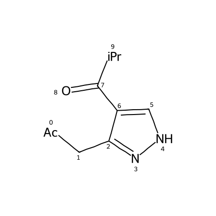 CC(=O)Cc1n[nH]cc1C(=O)C(C)C